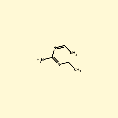 CC/N=C(N)\N=C/N